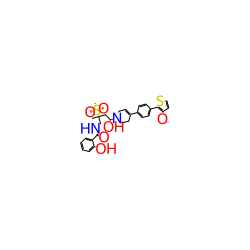 COc1ccsc1-c1ccc(C2=CCN(C(O)CC(C)(CNC(=O)c3ccccc3O)S(C)(=O)=O)CC2)cc1